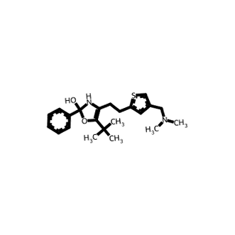 CN(C)Cc1csc(CCC2=C(C(C)(C)C)OC(O)(c3ccccc3)N2)c1